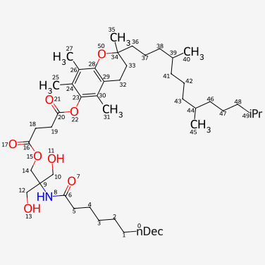 CCCCCCCCCCCCCCCC(=O)NC(CO)(CO)COC(=O)CCC(=O)Oc1c(C)c(C)c2c(c1C)CCC(C)(CCCC(C)CCCC(C)CCCC(C)C)O2